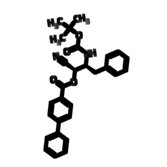 CC(C)(C)OC(=O)N[C@@H](Cc1ccccc1)[C@H](C#N)OC(=O)c1ccc(-c2ccccc2)cc1